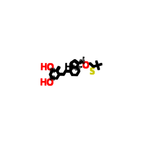 C=C1C(=CC=C2CCC[C@]3(C)C([C@H](C)OCC(=S)C(C)(C)C)=CC[C@@H]23)C[C@@H](O)C[C@@H]1O